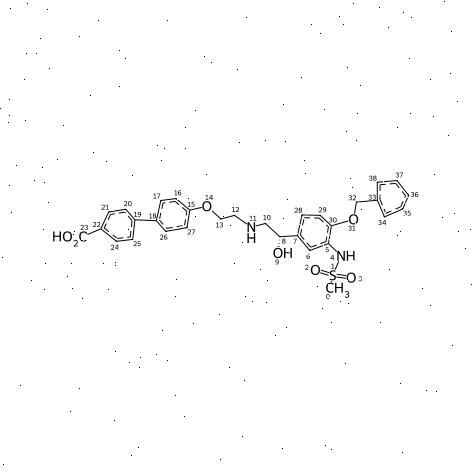 CS(=O)(=O)Nc1cc([C@H](O)CNCCOc2ccc(-c3ccc(C(=O)O)cc3)cc2)ccc1OCc1ccccc1